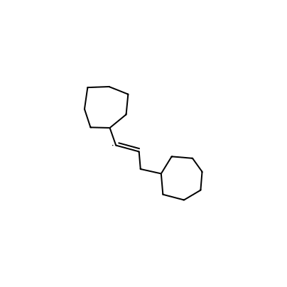 [C](=C\CC1CCCCCC1)/C1CCCCCC1